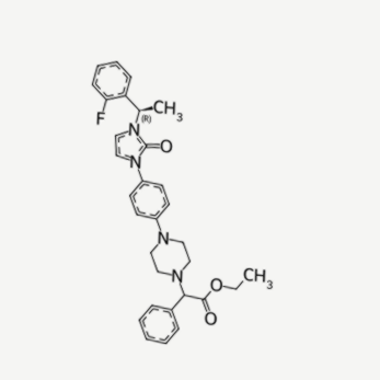 CCOC(=O)C(c1ccccc1)N1CCN(c2ccc(-n3ccn([C@H](C)c4ccccc4F)c3=O)cc2)CC1